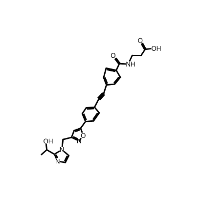 CC(O)c1nccn1Cc1cc(-c2ccc(C#Cc3ccc(C(=O)NCCC(=O)O)cc3)cc2)on1